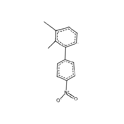 Cc1cc[c]c(-c2ccc([N+](=O)[O-])cc2)c1C